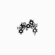 CN1CCC(N(C)C(=O)NC2(Oc3ccc(NC(=O)C4(C(=O)Nc5ccccc5)CC4)c(F)c3)C=CN=CC2)CC1